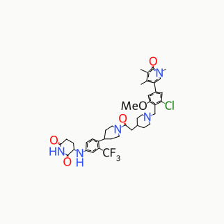 COc1cc(-c2cn(C)c(=O)c(C)c2C)cc(Cl)c1CN1CCC(CC(=O)N2CCC(c3ccc(NC4CCC(=O)NC4=O)cc3C(F)(F)F)CC2)CC1